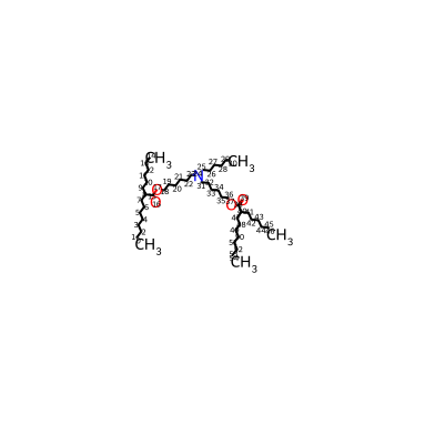 CCCCCCCCC(CCCCCC)C(=O)OCCCCCCN(CCCCCC)CCCCCCOC(=O)C(CCCCCC)CCCCCCCC